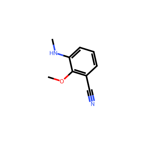 CNc1cccc(C#N)c1OC